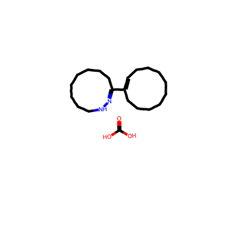 C1=C(C2=NNCCCCCCCC2)CCCCCCCCC1.O=C(O)O